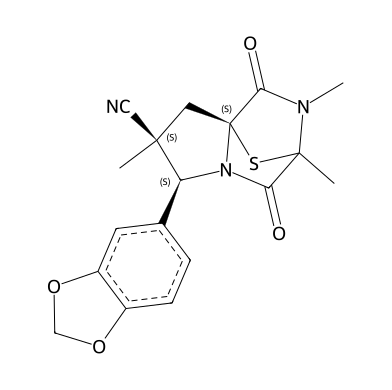 CN1C(=O)[C@@]23C[C@](C)(C#N)[C@H](c4ccc5c(c4)OCO5)N2C(=O)C1(C)S3